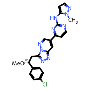 CO[C@H](Cc1nnc2cc(-c3ccnc(Nc4ccnn4C)n3)cnn12)c1ccc(Cl)cc1